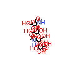 COC1C(C(=O)O)OC(OC2C(O)C(CO)OC(OC3C(C(=O)O)OC(OC4C(O)C(CO)OC(C)C4NC(C)=O)C(O)C3C)C2NC(C)=O)C(O)C1O